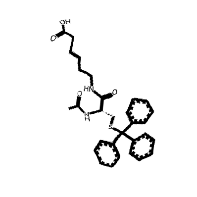 CC(=O)N[C@@H](CSC(c1ccccc1)(c1ccccc1)c1ccccc1)C(=O)NCCCCCC(=O)O